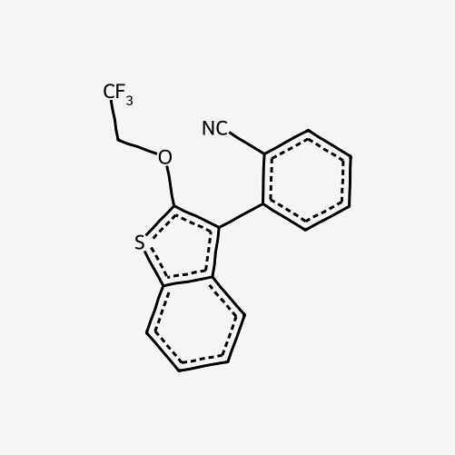 N#Cc1ccccc1-c1c(OCC(F)(F)F)sc2ccccc12